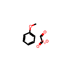 COc1ccccc1.O.O=CC=O